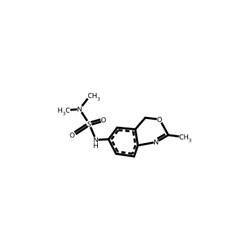 CC1=Nc2ccc(NS(=O)(=O)N(C)C)cc2CO1